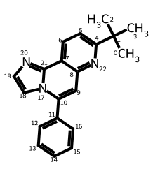 CC(C)(C)c1ccc2c(cc(-c3ccccc3)n3ccnc23)n1